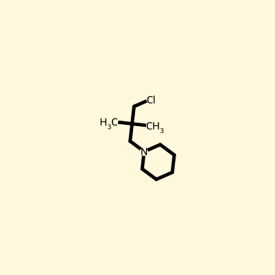 CC(C)(CCl)CN1CCCCC1